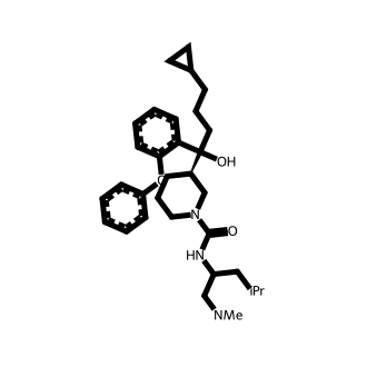 CNCC(CC(C)C)NC(=O)N1CCC[C@@H](C(O)(CCCC2CC2)c2ccccc2Oc2ccccc2)C1